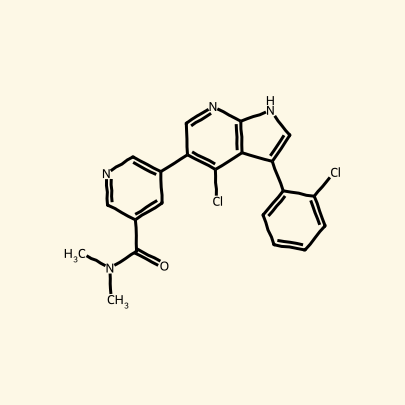 CN(C)C(=O)c1cncc(-c2cnc3[nH]cc(-c4ccccc4Cl)c3c2Cl)c1